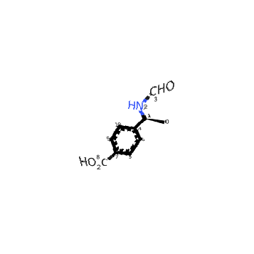 C[C@H](NC=O)c1ccc(C(=O)O)cc1